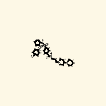 O=C(NCCCN1CCC(N2CCCCC2)CC1)c1ccc(S(=O)(=O)Nc2ccccc2Oc2ccc(Br)cc2)cc1